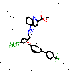 CCOC(=O)c1ccc2c(n1)CCCC2NCCc1ccccc1OCc1ccc(C2CCC(C(F)(F)F)CC2)cc1.Cl.Cl